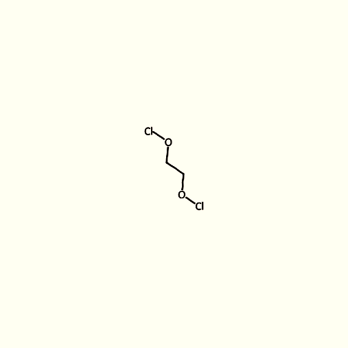 ClOCCOCl